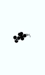 Bc1ccc(-c2c3c(c(-c4ccc(N(c5ccccc5)c5ncccn5)cc4)c4ccccc24)-c2cccc4cccc-3c24)cc1